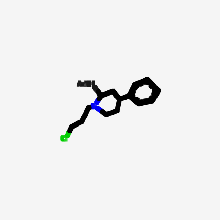 CC(=O)NC1CC(c2ccccc2)CCN1CCCCl